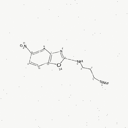 CNCCCNc1nc2cc([N+](=O)[O-])ccc2o1